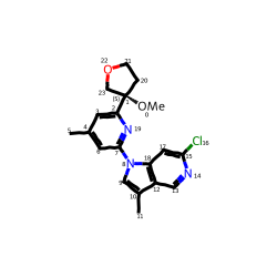 CO[C@]1(c2cc(C)cc(-n3cc(C)c4cnc(Cl)cc43)n2)CCOC1